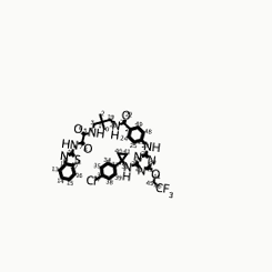 CC(C)(CNC(=O)C(=O)Nc1nc2ccccc2s1)CNC(=O)c1ccc(Nc2nc(NC3(c4ccc(Cl)cc4)CC3)nc(OCC(F)(F)F)n2)cc1